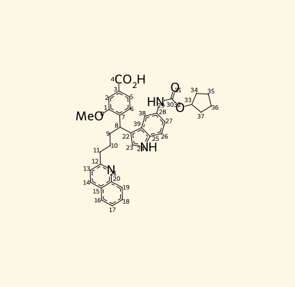 COc1cc(C(=O)O)ccc1C(CCCc1ccc2ccccc2n1)c1c[nH]c2ccc(NC(=O)OC3CCCC3)cc12